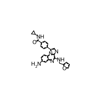 Nc1ccc2c(c1)nc(NCc1ccco1)c1ncc(-c3ccc(C(=O)NC4CC4)cc3)n12